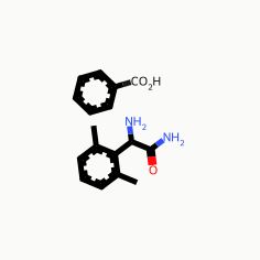 Cc1cccc(C)c1C(N)C(N)=O.O=C(O)c1ccccc1